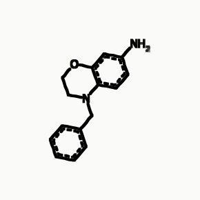 Nc1ccc2c(c1)OCCN2Cc1ccccc1